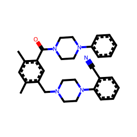 Cc1cc(C)c(C(=O)N2CCN(c3ccccc3)CC2)cc1CN1CCN(c2ccccc2C#N)CC1